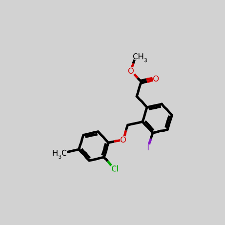 COC(=O)Cc1cccc(I)c1COc1ccc(C)cc1Cl